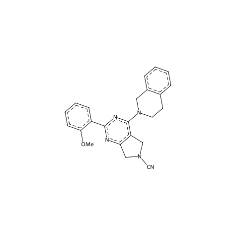 COc1ccccc1-c1nc2c(c(N3CCc4ccccc4C3)n1)CN(C#N)C2